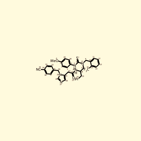 COc1ccc(NC(=S)N(Cc2ccccc2C(F)(F)F)CC(CC(C)C)NC(=O)Cc2cncn2Cc2ccc(C#N)cc2)cc1